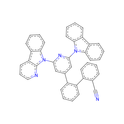 N#Cc1ccccc1-c1ccccc1-c1cc(-n2c3ccccc3c3ccccc32)nc(-n2c3ccccc3c3cccnc32)c1